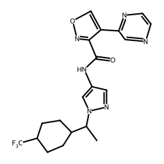 CC(C1CCC(C(F)(F)F)CC1)n1cc(NC(=O)c2nocc2-c2cnccn2)cn1